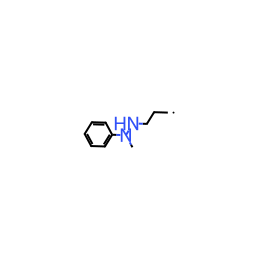 [CH2]CCNN(C)c1ccccc1